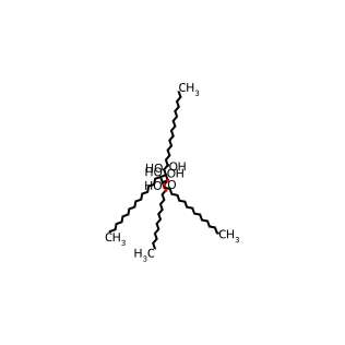 CCCCCCCCCCCCCCCCC(O)[C@@H](O)[C@](O)(CCCCCCCCCCCCCCCC)[C@@](O)(CCCCCCCCCCCCCCCC)[C@@](O)(C=O)CCCCCCCCCCCCCCCC